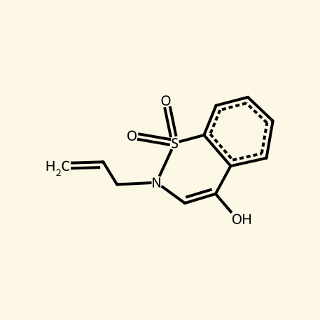 C=CCN1C=C(O)c2ccccc2S1(=O)=O